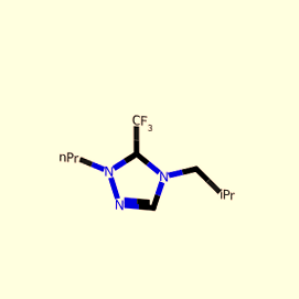 CCCN1N=CN(CC(C)C)C1C(F)(F)F